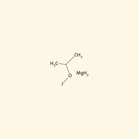 CC(C)OI.[MgH2]